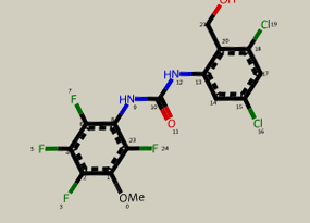 COc1c(F)c(F)c(F)c(NC(=O)Nc2cc(Cl)cc(Cl)c2CO)c1F